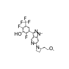 COCC[C@H]1CCN1c1cc2c(cn1)c(-c1cc(C(F)(F)F)c(F)c(O)c1F)nn2C